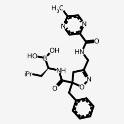 Cc1cnc(C(=O)NCC2=NOC(Cc3ccccc3)(C(=O)N[C@@H](CC(C)C)B(O)O)C2)cn1